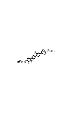 CCCCCc1ccc(-c2ccc(-c3ccc(C4COC(CCCCC)OC4)cc3F)cc2)c(F)c1F